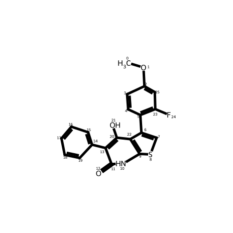 COc1ccc(-c2csc3[nH]c(=O)c(-c4ccccc4)c(O)c23)c(F)c1